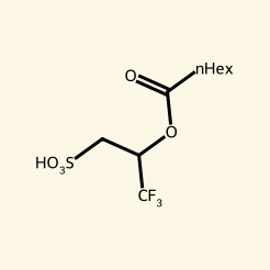 CCCCCCC(=O)OC(CS(=O)(=O)O)C(F)(F)F